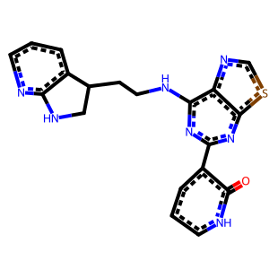 O=c1[nH]cccc1-c1nc(NCCC2CNc3ncccc32)c2ncsc2n1